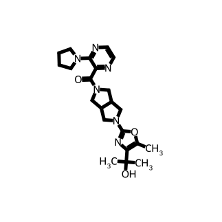 Cc1oc(N2CC3CN(C(=O)c4nccnc4N4CCCC4)CC3C2)nc1C(C)(C)O